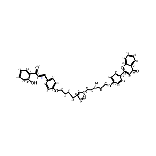 O=C(/C=C/c1ccc(OCCCCc2cn(CCNCCOc3ccc(-c4cc(=O)c5ccccc5o4)cc3)nn2)cc1)c1ccccc1O